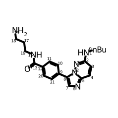 CCCCNc1ccc2ncc(-c3ccc(C(=O)NCCCN)cc3)n2n1